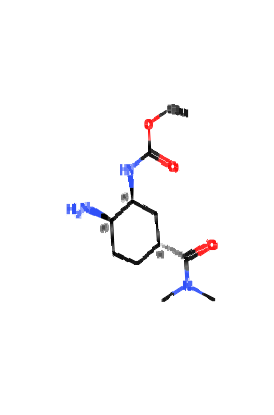 CN(C)C(=O)[C@@H]1CC[C@@H](N)[C@@H](NC(=O)OC(C)(C)C)C1